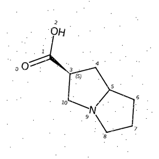 O=C(O)[C@H]1CC2CCCN2C1